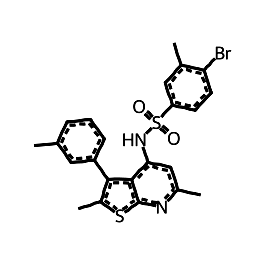 Cc1cccc(-c2c(C)sc3nc(C)cc(NS(=O)(=O)c4ccc(Br)c(C)c4)c23)c1